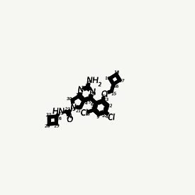 Nc1nc2c(c(-c3c(Cl)cc(Cl)cc3OCC3CCC3)n1)CN(C(=O)NC1CCC1)C2